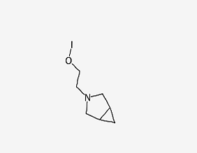 IOCCN1CC2CC2C1